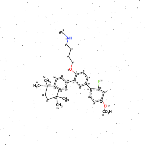 CC(C)NCCCCOc1ccc(-c2ccc(OC(=O)O)cc2F)cc1-c1ccc2c(c1)C(C)(C)CCC2(C)C